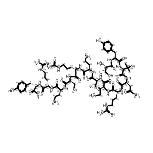 C[C@@H](O)[C@H](N)C(=O)N[C@@H](Cc1ccc(O)cc1)C(=O)N[C@H](C(=O)N[C@@H](CC(N)=O)C(=O)N[C@@H](CCCNC(=N)N)C(=O)N[C@@H](CCN)C(=O)N[C@H](C(=O)N[C@H](CCN)C(=O)N[C@@H](CCCNC(N)=O)C(=O)N[C@@H](CS)C(=O)N[C@@H](CCN)C(=O)N[C@@H](CCCNC(=N)N)C(=O)N[C@@H](Cc1ccc(O)cc1)C(=O)O)[C@@H](C)O)C(C)(C)S